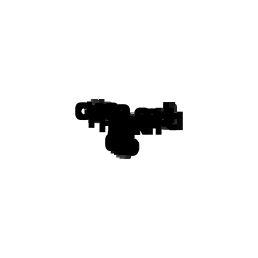 O=C(COc1ccc(Cl)c(F)c1)NC12CCC(NC(=O)COc3ccc(Cl)c(F)c3)(CC1)[C@@H](OC(=O)ON1C(=O)CCC1=O)C2